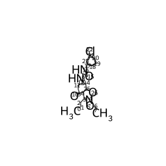 CCCC(=NOCC)C1C(=O)CC(NC(=O)Nc2cccc(Cl)c2)CC1=O